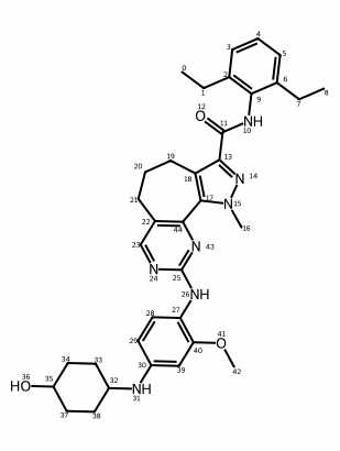 CCc1cccc(CC)c1NC(=O)c1nn(C)c2c1CCCc1cnc(Nc3ccc(NC4CCC(O)CC4)cc3OC)nc1-2